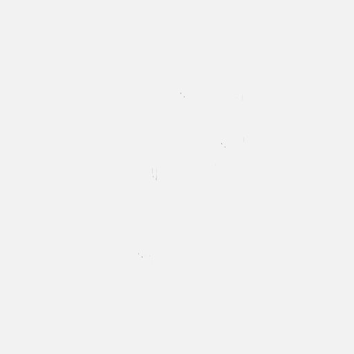 CCn1c(=C(C#N)C(=O)O)sc(=CNc2cccc([N+](=O)[O-])c2)c1=O